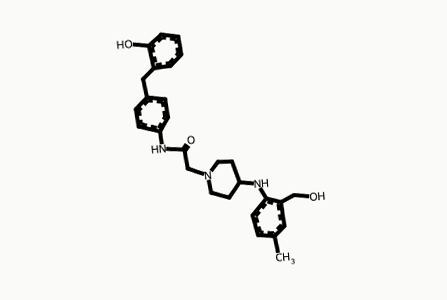 Cc1ccc(NC2CCN(CC(=O)Nc3ccc(Cc4ccccc4O)cc3)CC2)c(CO)c1